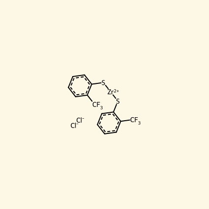 FC(F)(F)c1ccccc1[S][Zr+2][S]c1ccccc1C(F)(F)F.[Cl-].[Cl-]